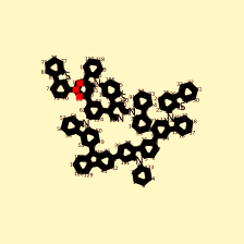 c1ccc(-n2c3ccc(-c4ccc5c(c4)c4ccccc4n5-c4cccc5c4sc4ccccc45)cc3c3ccc(-c4ccc5c(c4)C(c4ccc6c(c4)c4ccccc4n6-c4cc(-c6cccc(-c7cccc8c7sc7ccccc78)c6)cc(-c6cnc(-n7c8ccccc8c8ccccc87)c7sc8ccc(-n9c%10ccccc%10c%10ccccc%109)cc8c67)c4)c4ccccc4-5)cc32)cc1